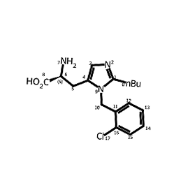 CCCCc1ncc(C[C@H](N)C(=O)O)n1Cc1ccccc1Cl